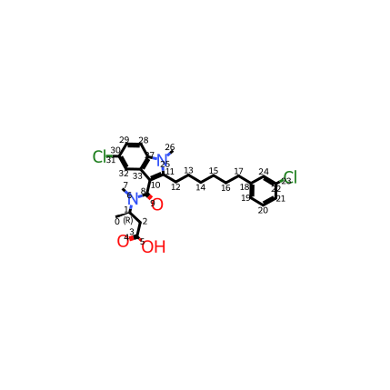 C[C@H](CC(=O)O)N(C)C(=O)c1c(CCCCCCc2cccc(Cl)c2)n(C)c2ccc(Cl)cc12